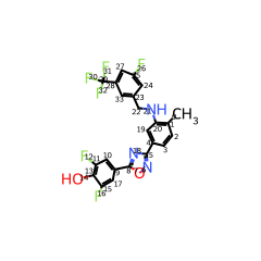 Cc1ccc(-c2noc(-c3cc(F)c(O)c(F)c3)n2)cc1NCc1cc(F)cc(C(F)(F)F)c1